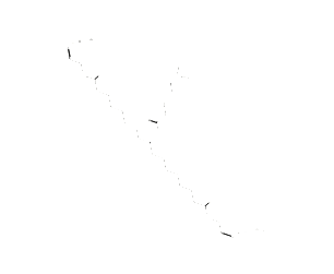 CCCCCC/C=C\COC(=O)CCCCCCCC(CCCCCCCC(=O)OC/C=C\CCCCCC)OC(=O)CCCCN(CC)CC